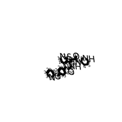 O=C(NC1CCCNC1)c1sc2nccc3c2c1NC(=O)N3c1ccc(Oc2ccccn2)cc1